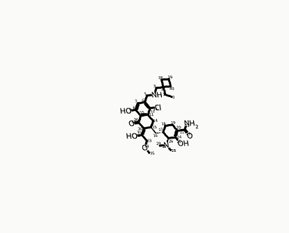 CCC1(CNCc2cc(O)c3c(c2Cl)C[C@@H](C[C@@H]2CCC(C(N)=O)=C(O)[C@H]2N(C)C)/C(=C(/O)COC)C3=O)CCC1